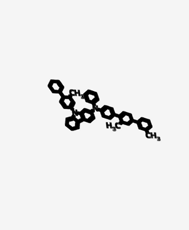 CC1C=C(C2CC=C(C3=CC=C(N(c4ccccc4)c4ccc5c6c(n(C7=CC(C)C(C8C=CCCC8)C=C7)c5c4)=CCCC=6)CC3)C(C)C2)C=CC1